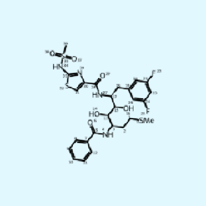 CSCC[C@@H](NC(=O)c1ccccc1)[C@@H](O)[C@H](O)[C@H](Cc1cc(F)cc(F)c1)NC(=O)c1csc(NS(C)(=O)=O)n1